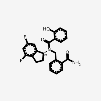 NC(=O)c1ccccc1CN(C(=O)c1ccccc1O)[C@@H]1CCc2c(F)cc(F)cc21